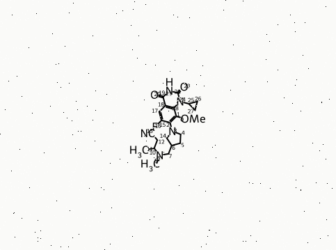 COc1c(N2CCC(CN(C)C(C)CC#N)C2)c(F)cc2c(=O)[nH]c(=O)n(C3CC3)c12